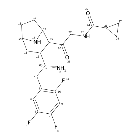 N[C@H](Cc1cc(F)c(F)cc1F)C1CC2CCC(N2)C1C(=O)CNC(=O)C1CC1